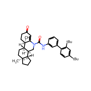 CC(C)(C)c1ccc(-c2cccc(NC(=O)N3C[C@H]4[C@@H]5CCC[C@@]5(C)CC[C@@H]4[C@@]4(C)CCC(=O)C=C34)c2)c(C(C)(C)C)c1